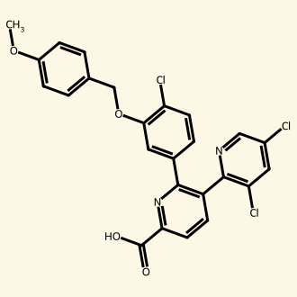 COc1ccc(COc2cc(-c3nc(C(=O)O)ccc3-c3ncc(Cl)cc3Cl)ccc2Cl)cc1